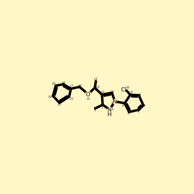 CC1NN(c2ccccc2Cl)C=C1C(C)OCc1ccccc1